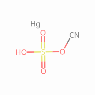 N#COS(=O)(=O)O.[Hg]